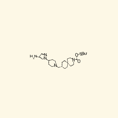 CC(C)(C)OC(=O)N1CCC2(CCC(CN3CCC(n4cc(N)cn4)CC3)CC2)CC1